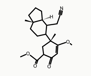 COC(=O)C1C[C@](C)(C2CC[C@]3(C)CCC[C@H]3C2CC#N)C(OC)=CC1=O